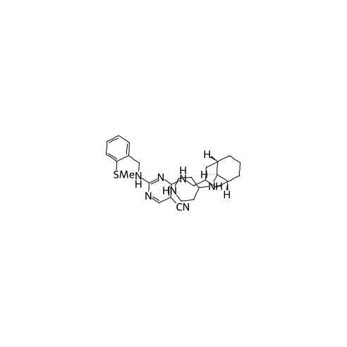 CSc1ccccc1CNc1ncc(C#N)c(NCC2C[C@H]3CCC[C@@H](C2)[C@@H]3NC2CCNCC2)n1